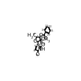 C=C1OC(n2ccc(=O)[nH]c2=O)[C@](C)(F)[C@@H]1OC(=O)c1ccccc1